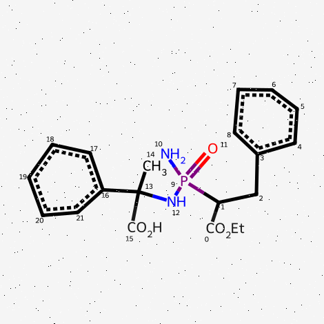 CCOC(=O)C(Cc1ccccc1)P(N)(=O)NC(C)(C(=O)O)c1ccccc1